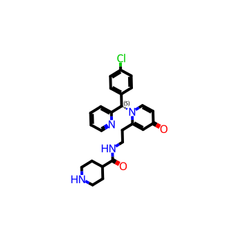 O=C(NCCc1cc(=O)ccn1[C@@H](c1ccc(Cl)cc1)c1ccccn1)C1CCNCC1